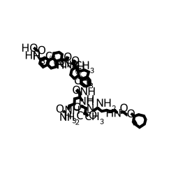 CC(C)C(NC(=O)C(N)CCCCNC(=O)COC1C#CCCCCC1)C(=O)NC(CCCNC(N)=O)C(=O)Nc1ccc2c(c1)[C@@]1(C)CCC[C@](C)(C(=O)NC(=O)[C@@]3(C)CCC[C@]4(C)c5cc(NC(=O)O)ccc5CC[C@@H]34)[C@@H]1CC2